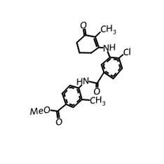 COC(=O)c1ccc(NC(=O)c2ccc(Cl)c(NC3=C(C)C(=O)CCC3)c2)c(C)c1